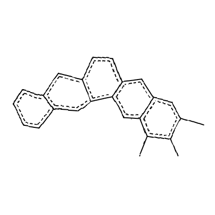 Cc1cc2cc3ccc4cc5ccccc5cc4c3cc2c(C)c1C